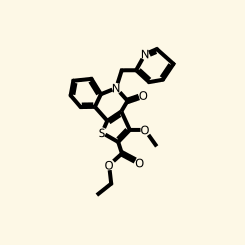 CCOC(=O)c1sc2c(c1OC)c(=O)n(Cc1ccccn1)c1ccccc21